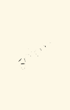 N[C@@H](CC(=O)OC(=O)C(F)(F)F)C(=O)NCc1ccc2c(c1)OCO2